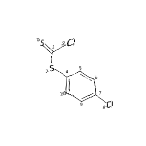 S=C(Cl)Sc1ccc(Cl)cc1